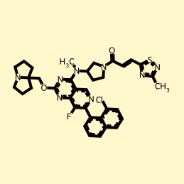 Cc1nsc(/C=C/C(=O)N2CCC(N(C)c3nc(OCC45CCCN4CCC5)nc4c(F)c(-c5cccc6cccc(Cl)c56)ncc34)C2)n1